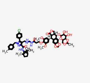 COc1cc([C@@H]2c3cc4c(cc3[C@@H](OC3OC5COC(C)OC5C(O)C3O)[C@H]3COC(=O)[C@H]23)OCO4)cc(OC)c1OCCC(=O)NCNCc1c(C(=O)NC2C3(C)CCC(C3)C2(C)C)nn(Cc2ccc(C)cc2)c1-c1ccc(Cl)cc1